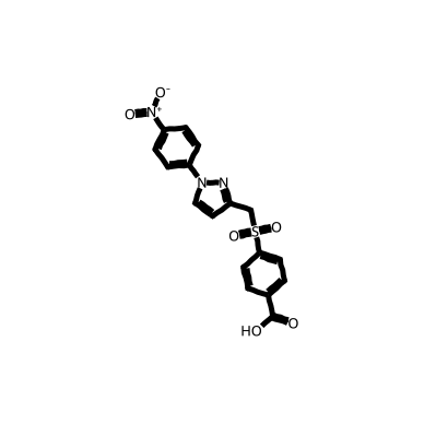 O=C(O)c1ccc(S(=O)(=O)Cc2ccn(-c3ccc([N+](=O)[O-])cc3)n2)cc1